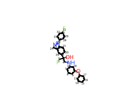 OC(CF)(CNc1cccc(Oc2ccccc2)c1)c1ccc2c(cnn2-c2ccc(F)cc2)c1